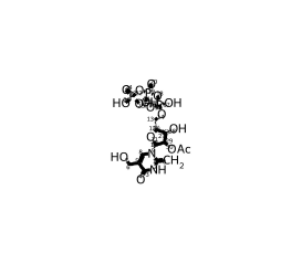 C=C1NC(=O)C(CO)=CN1[C@@H]1O[C@H](COP(=O)(O)OP(=O)(O)OP(=O)(O)O)[C@H](O)C1OC(C)=O